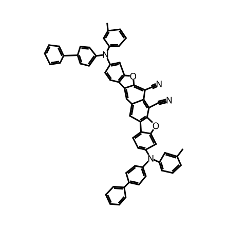 Cc1cccc(N(c2ccc(-c3ccccc3)cc2)c2ccc3c(c2)oc2c(C#N)c4c(C#N)c5oc6cc(N(c7ccc(-c8ccccc8)cc7)c7cccc(C)c7)ccc6c5cc4cc23)c1